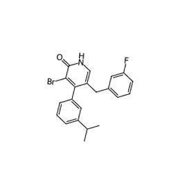 CC(C)c1cccc(-c2c(Cc3cccc(F)c3)c[nH]c(=O)c2Br)c1